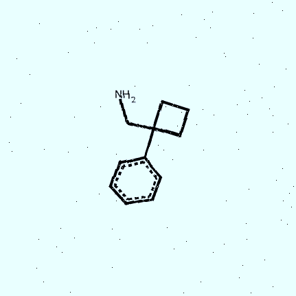 NCC1(c2ccccc2)CCC1